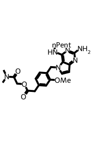 CCCCCNc1nc(N)nc2ccn(Cc3ccc(CC(=O)OCC(=O)N(C)C)cc3OC)c12